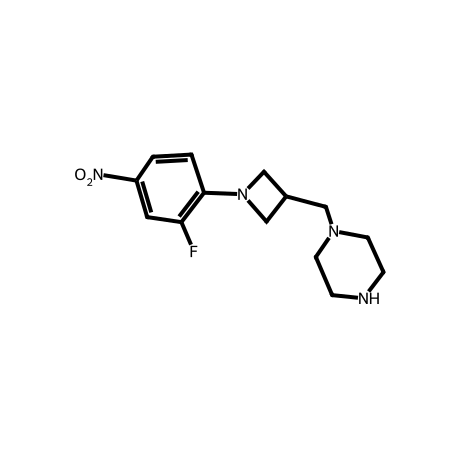 O=[N+]([O-])c1ccc(N2CC(CN3CCNCC3)C2)c(F)c1